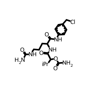 CC(C)C(OC(N)=O)C(=O)NC(CCCNC(N)=O)C(=O)Nc1ccc(CCl)cc1